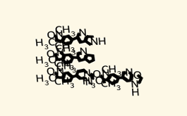 CN1C(=O)C(C)(C)c2ccc(-c3ccn4ccnc4c3)cc21.CN1C(=O)C(C)(C)c2ccc(-c3cnc4c(c3)CCC4)cc21.CN1C(=O)C(C)(C)c2ccc(-c3cnc4c(c3)CNC4)cc21.CN1C(=O)C(C)(C)c2ccc(-c3cnc4c(c3)NCCO4)cc21